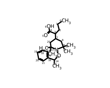 CCCC(C(=O)O)C1CC(C)(C)N(OC(C)c2ccccc2)C(C)(C)C1